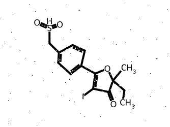 CCC1(C)OC(c2ccc(C[SH](=O)=O)cc2)=C(I)C1=O